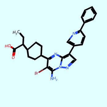 CCC(C(=O)O)C1CCC(c2nc3c(-c4ccc(-c5ccccc5)nc4)cnn3c(N)c2Br)CC1